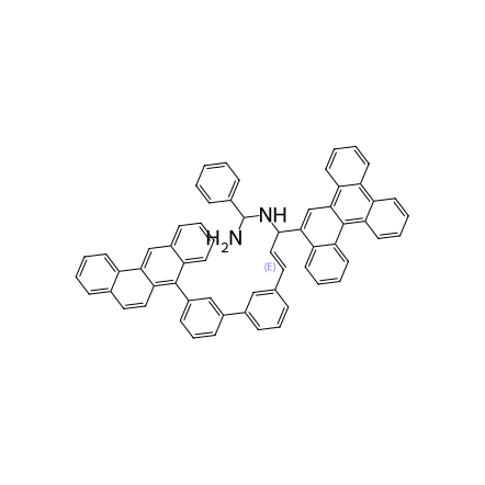 NC(NC(/C=C/c1cccc(-c2cccc(-c3c4ccccc4cc4c3ccc3ccccc34)c2)c1)c1cc2c3ccccc3c3ccccc3c2c2ccccc12)c1ccccc1